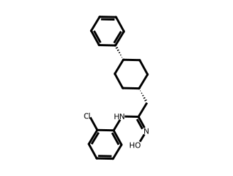 O/N=C(/C[C@H]1CC[C@@H](c2ccccc2)CC1)Nc1ccccc1Cl